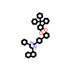 c1ccc(-c2cc(-c3cccc4ccccc34)nc(-c3ccc(-c4cccc5c4Oc4ccc6c(c4O5)-c4ccccc4C6(c4ccccc4)c4ccccc4)cc3)n2)cc1